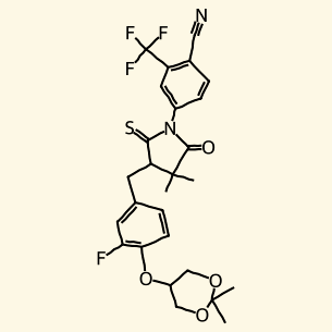 CC1(C)OCC(Oc2ccc(CC3C(=S)N(c4ccc(C#N)c(C(F)(F)F)c4)C(=O)C3(C)C)cc2F)CO1